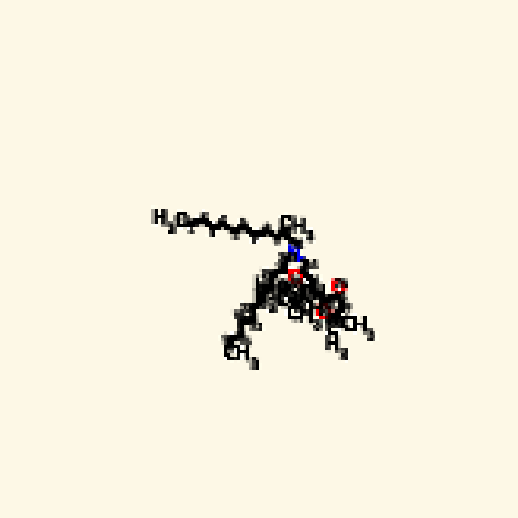 CCCCCCCCCCC(C)CN(CCCCC1OC(C)(C)CC1=O)CC(CCCCCCCCCC)O[Si](C)(C)C(C)(C)C